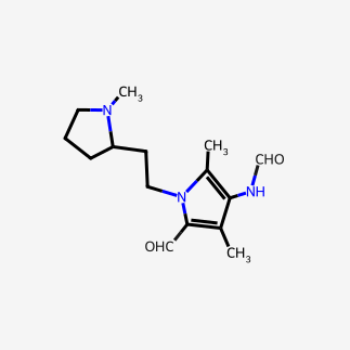 Cc1c(NC=O)c(C)n(CCC2CCCN2C)c1C=O